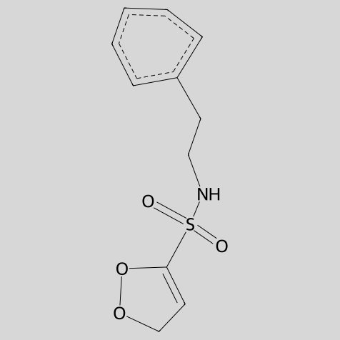 O=S(=O)(NCCc1ccccc1)C1=CCOO1